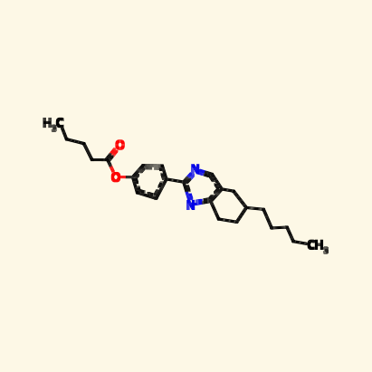 CCCCCC1CCc2nc(-c3ccc(OC(=O)CCCC)cc3)ncc2C1